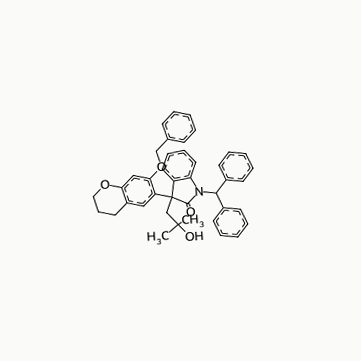 CC(C)(O)CC1(c2cc3c(cc2OCc2ccccc2)OCCC3)C(=O)N(C(c2ccccc2)c2ccccc2)c2ccccc21